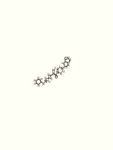 C[C@@H]1CN(c2ccc(F)c(C#N)c2)CCN1C(=O)NC1CC2(C1)CN(Cc1ccccc1)C2